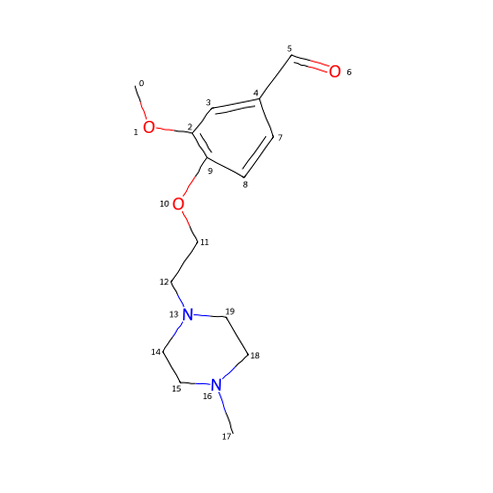 COc1cc(C=O)ccc1OCCN1CCN(C)CC1